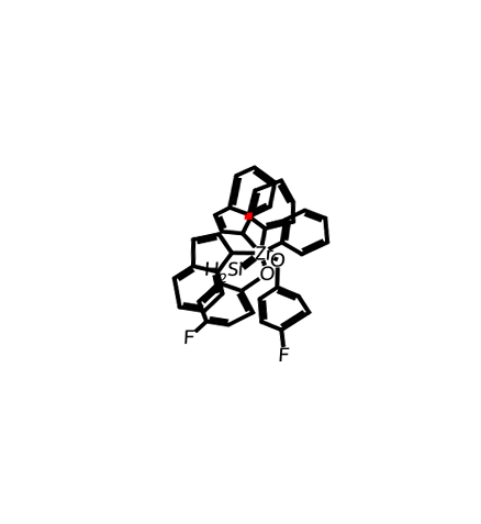 Fc1ccc([O][Zr](=[SiH2])([O]c2ccc(F)cc2)([c]2ccccc2)([c]2ccccc2)([CH]2C=Cc3ccccc32)[CH]2C=Cc3ccccc32)cc1